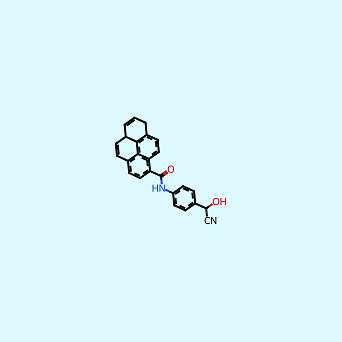 N#CC(O)c1ccc(NC(=O)c2ccc3c4c5c(ccc24)CC=CC5C=C3)cc1